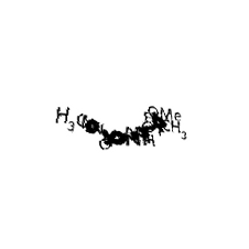 COc1cc(C)c(F)c(COc2cnc(Nc3ccn(CCN4CCN(C)CC4)c(=O)c3)nc2)c1F